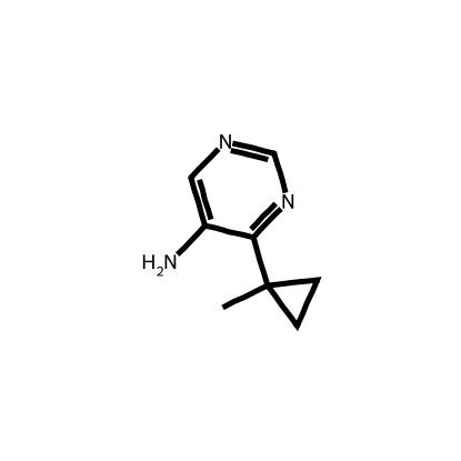 CC1(c2ncncc2N)CC1